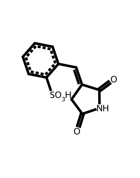 O=C1CC(=Cc2ccccc2S(=O)(=O)O)C(=O)N1